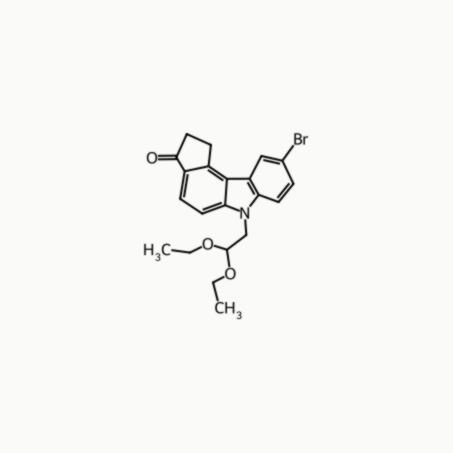 CCOC(Cn1c2ccc(Br)cc2c2c3c(ccc21)C(=O)CC3)OCC